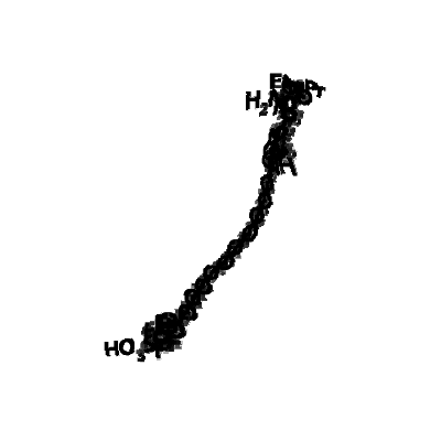 CCCN(OCC)C(=O)C1=Cc2ccc(-c3ccc(C(=O)N4CCC[C@@H]4C(=O)NCCOCCOCCOCCOCCOCCOCCOCCOCCOCCOCCC(=O)Oc4c(F)c(F)c(S(=O)(=O)O)c(F)c4F)nc3)cc2N=C(N)C1